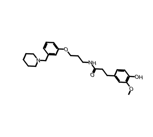 COc1cc(CCC(=O)NCCCOc2cccc(CN3CCCCC3)c2)ccc1O